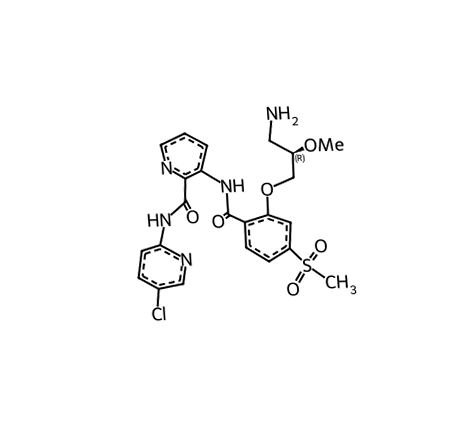 CO[C@H](CN)COc1cc(S(C)(=O)=O)ccc1C(=O)Nc1cccnc1C(=O)Nc1ccc(Cl)cn1